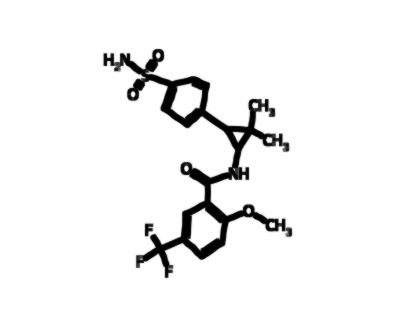 COc1ccc(C(F)(F)F)cc1C(=O)NC1C(c2ccc(S(N)(=O)=O)cc2)C1(C)C